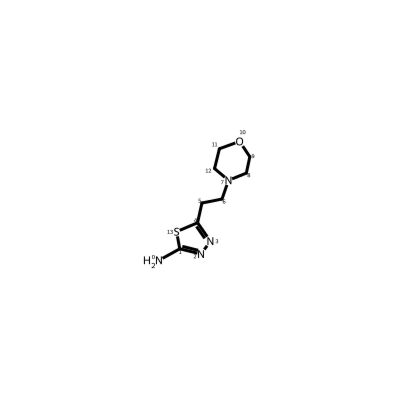 Nc1nnc(CCN2CCOCC2)s1